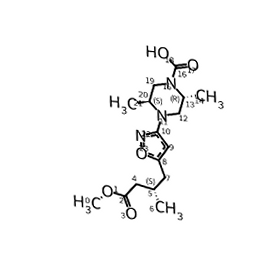 COC(=O)C[C@@H](C)Cc1cc(N2C[C@@H](C)N(C(=O)O)C[C@@H]2C)no1